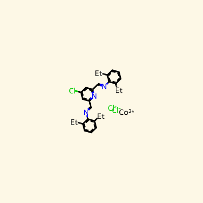 CCc1cccc(CC)c1N=Cc1cc(Cl)cc(C=Nc2c(CC)cccc2CC)n1.[Cl-].[Cl-].[Co+2]